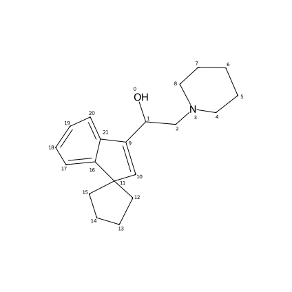 OC(CN1CCCCC1)C1=CC2(CCCC2)c2ccccc21